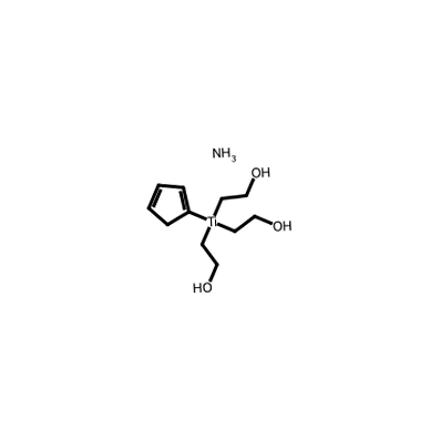 N.OC[CH2][Ti]([CH2]CO)([CH2]CO)[C]1=CC=CC1